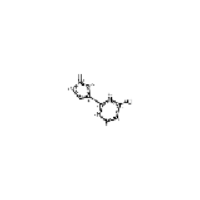 Clc1ccnc(-c2cn[nH]c2)n1